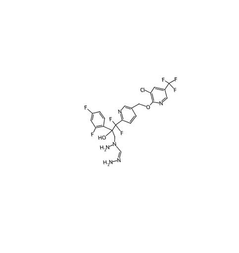 N/N=C\N(N)CC(O)(c1ccc(F)cc1F)C(F)(F)c1ccc(COc2ncc(C(F)(F)F)cc2Cl)cn1